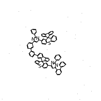 c1ccc(-c2nc(-c3cccc(-c4cccc(-c5ccc6c(c5)C5(c7ccccc7Sc7ccc(-c8cc(-c9ccccc9-c9ccccc9)nc(-c9ccccc9)n8)cc75)c5ccccc5-6)c4)c3)cc(-c3ccc4c(c3)C3(c5ccccc5S4)c4ccccc4-c4ccccc43)n2)cc1